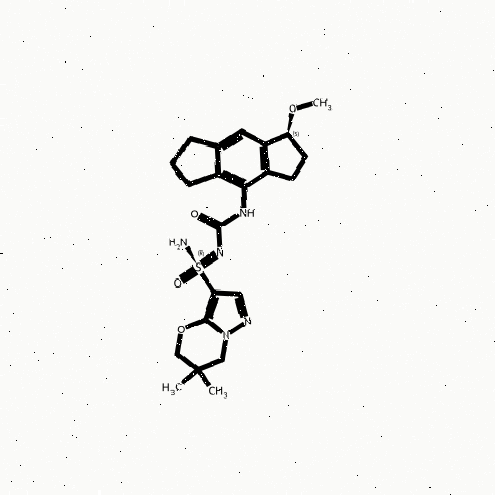 CO[C@H]1CCc2c1cc1c(c2NC(=O)N=[S@@](N)(=O)c2cnn3c2OCC(C)(C)C3)CCC1